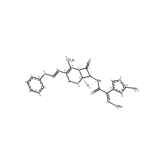 CO/N=C(/C(=O)NC1C(=O)N2C(C(=O)O)=C(/C=C/Sc3cccnc3)CS[C@H]12)c1csc(N)n1